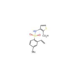 C=Cc1cc(C(C)(C)C)ccc1S(=O)(=O)Nc1ccsc1C(=O)O